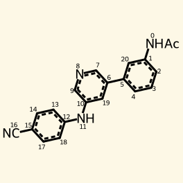 CC(=O)Nc1cccc(-c2cncc(Nc3ccc(C#N)cc3)c2)c1